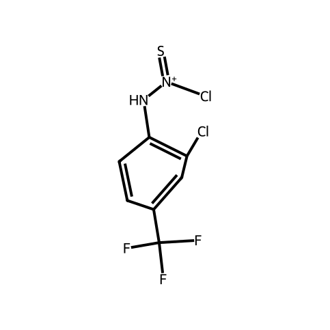 FC(F)(F)c1ccc(N[N+](=S)Cl)c(Cl)c1